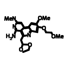 CNc1cc2c(c(N)n1)c(CC1OCCO1)nc1cc(OCCOC)c(OC)cc12